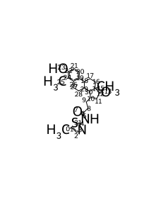 Cc1cnc(NC(=O)CCC2CC(=O)C3(C)CCC4c5ccc(O)c(C)c5CCC4C23)s1